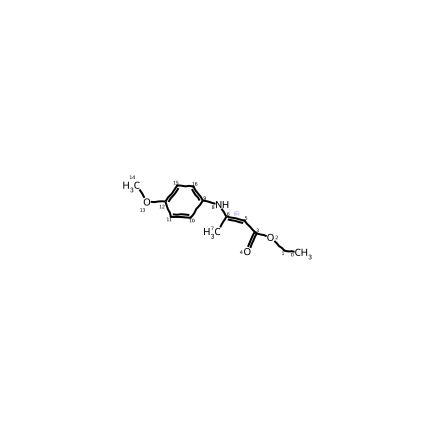 CCOC(=O)/C=C(\C)Nc1ccc(OC)cc1